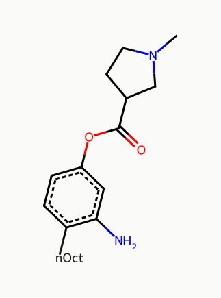 CCCCCCCCc1ccc(OC(=O)C2CCN(C)C2)cc1N